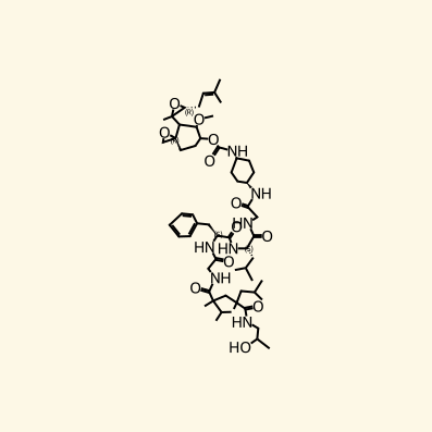 COC1C(OC(=O)N[C@H]2CC[C@H](NC(=O)CNC(=O)[C@H](CC(C)C)NC(=O)[C@H](Cc3ccccc3)NC(=O)CNC(=O)C(C)(CC(C)(CC(C)C)C(=O)NCC(C)O)C(C)C)CC2)CC[C@]2(CO2)C1C1(C)O[C@@H]1CC=C(C)C